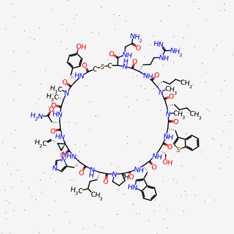 C=C[C@H]1C[C@]12NC(=O)[C@H](CC(N)=O)NC(=O)[C@H](C)N(C)C(=O)[C@H](Cc1ccc(O)cc1)NC(=O)CSCC(C(=O)NCC(N)=O)NC(=O)[C@H](CCCNC(=N)N)NC(=O)[C@H](CCCC)N(C)C(=O)[C@H](CCCC)N(C)C(=O)[C@H](Cc1csc3ccccc13)NC(=O)[C@H](CO)NC(=O)[C@H](Cc1c[nH]c3ccccc13)NC(=O)[C@@H]1CCCN1C(=O)[C@H](CCC(C)C)NC(=O)[C@H](Cc1cnc[nH]1)NC2=O